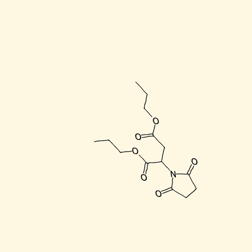 CCCOC(=O)CC(C(=O)OCCC)N1C(=O)CCC1=O